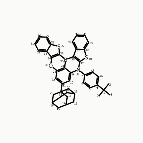 CC(C)(C)c1ccc(N2c3cc(C45CC6CC(CC(C6)C4)C5)cc4c3B(c3sc5ccccc5c3O4)c3c2sc2ccccc32)cc1